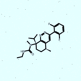 CCNC(=O)N(C)[C@@]1(C(C)C)CC[C@H](C)c2cc(-c3c(F)cccc3F)nnc21